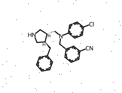 N#Cc1cccc(CN(C[C@H]2CNC[C@@H]2Cc2ccccc2)c2ccc(Cl)cc2)c1